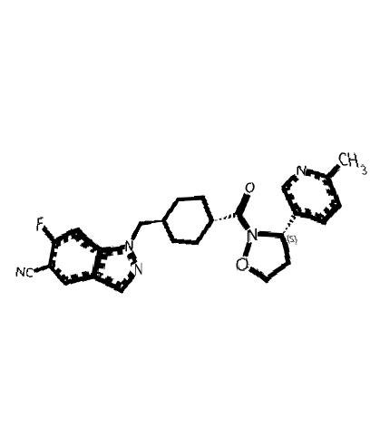 Cc1ccc([C@@H]2CCON2C(=O)[C@H]2CC[C@H](Cn3ncc4cc(C#N)c(F)cc43)CC2)cn1